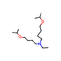 CCN(CCCCOC(C)C)CCCCOC(C)C